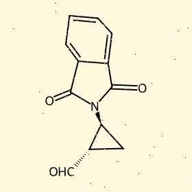 O=C[C@H]1C[C@@H]1N1C(=O)c2ccccc2C1=O